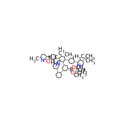 Cc1ccc2c(n1)oc1c(-c3ccc(-c4ccccc4-c4cc(B5OC(C)(C)C(C)(C)O5)cc(-c5c(C)c(C)c(C)c(C)c5-c5ccc(-c6cc(C(C)(C)C)ccn6)cc5)c4)cn3)cccc12